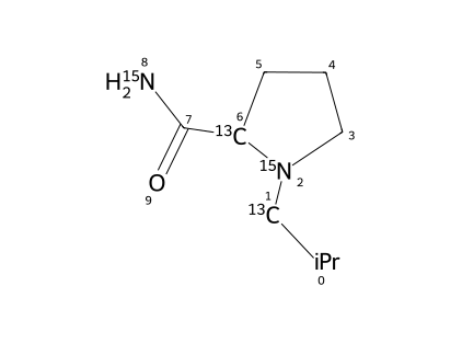 CC(C)[13CH2][15N]1CCC[13CH]1C([15NH2])=O